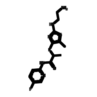 Cc1sc(NCCN)nc1SC(C)C(=O)Nc1ccc(F)cn1